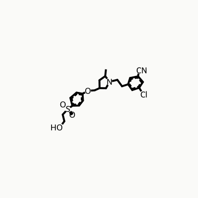 CC1CC(COc2ccc(S(=O)(=O)CCO)cc2)CN1CCc1cc(Cl)cc(C#N)c1